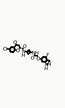 O=C(COc1cc(F)c2cn[nH]c2c1)NC12CC(NC(=O)[C@H]3CC(=O)c4cc(Cl)ccc4O3)(C1)C2